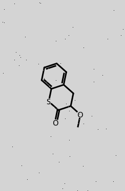 COC1Cc2ccccc2SC1=O